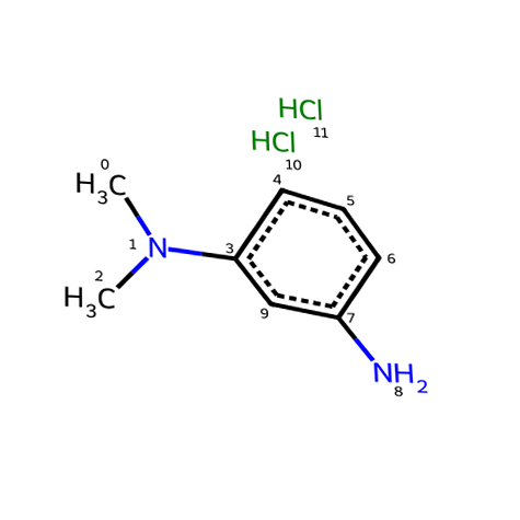 CN(C)c1cccc(N)c1.Cl.Cl